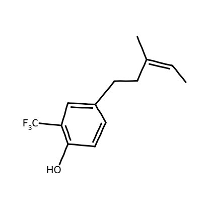 C/C=C(/C)CCc1ccc(O)c(C(F)(F)F)c1